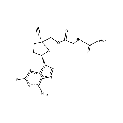 C#C[C@@]1(COC(=O)CNC(=O)CCCCCC)CC[C@H](n2cnc3c(N)nc(F)nc32)O1